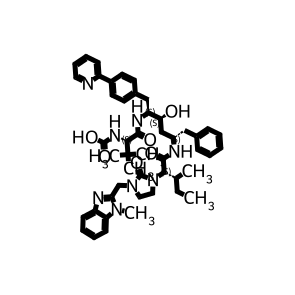 CCC(C)[C@@H](C(=O)N[C@@H](Cc1ccccc1)C[C@H](O)[C@H](Cc1ccc(-c2ccccn2)cc1)NC(=O)[C@@H](NC(=O)O)C(C)(C)C)N1CCN(Cc2nc3ccccc3n2C)C1=O